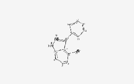 Brc1cccc2[nH]nc(-c3ccccc3)c12